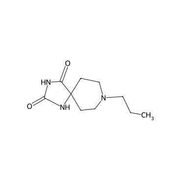 CCCN1CCC2(CC1)NC(=O)NC2=O